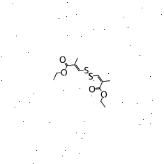 CCOC(=O)C(C)=CSSC=C(C)C(=O)OCC